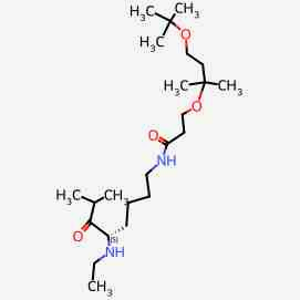 CCN[C@@H](CCCCNC(=O)CCOC(C)(C)CCOC(C)(C)C)C(=O)C(C)C